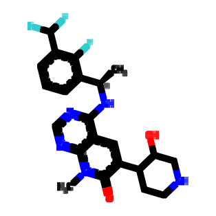 C[C@@H](Nc1ncnc2c1cc(C1CCNCC1O)c(=O)n2C)c1cccc(C(F)F)c1F